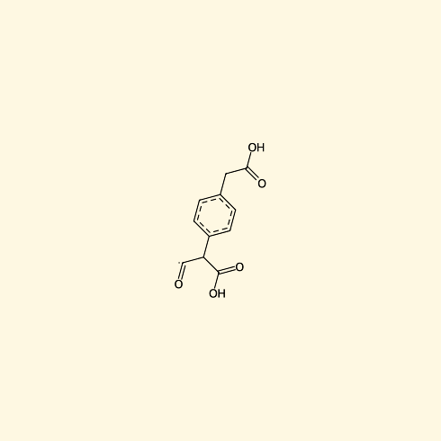 O=[C]C(C(=O)O)c1ccc(CC(=O)O)cc1